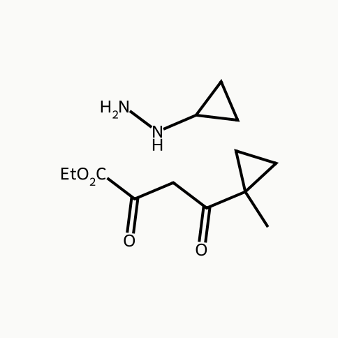 CCOC(=O)C(=O)CC(=O)C1(C)CC1.NNC1CC1